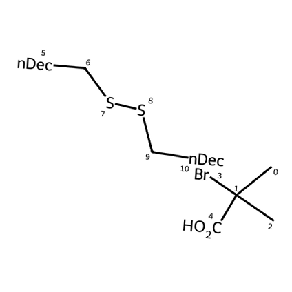 CC(C)(Br)C(=O)O.CCCCCCCCCCCSSCCCCCCCCCCC